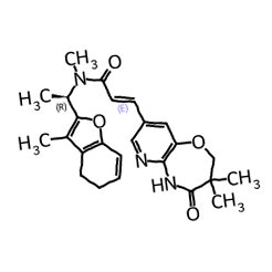 Cc1c([C@@H](C)N(C)C(=O)/C=C/c2cnc3c(c2)OCC(C)(C)C(=O)N3)oc2c1CCC=C2